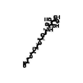 O=NCCOCCOCCOCCOCCNC(=O)C(O)C(O)C(=O)O